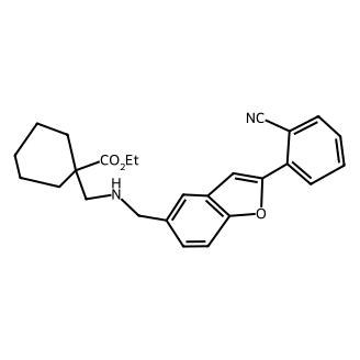 CCOC(=O)C1(CNCc2ccc3oc(-c4ccccc4C#N)cc3c2)CCCCC1